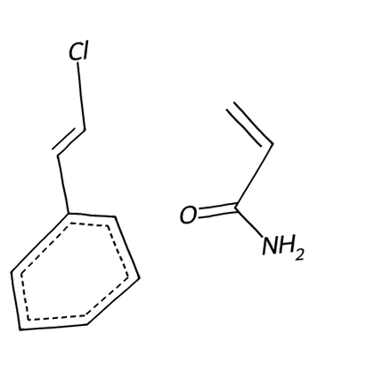 C=CC(N)=O.ClC=Cc1ccccc1